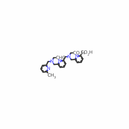 Cc1cccc(CN(CC=O)Cc2cccc(CN(CC(=O)O)Cc3cccc(C(=O)O)n3)n2)n1